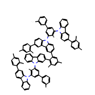 Cc1ccc(-c2ccc3c(c2)c2ccccc2n3-c2cc(-c3cccc(C#N)c3)cc(-n3c4ccc(-c5ccc(C)cc5C)cc4c4cc(-c5cc(C)cc(C)c5-c5ccc6c7ccccc7n(-c7cc(-c8cccc(C#N)c8)cc(-n8c9ccccc9c9ccc(-c%10ccc(C)cc%10C)cc98)c7C#N)c6c5)ccc43)c2C#N)c(C)c1